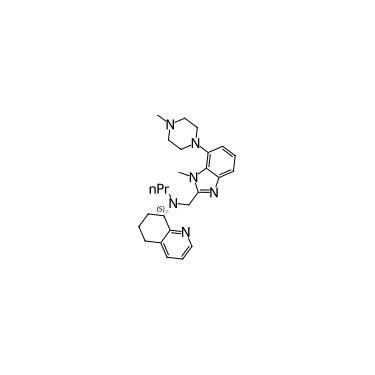 CCCN(Cc1nc2cccc(N3CCN(C)CC3)c2n1C)[C@H]1CCCc2cccnc21